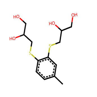 Cc1ccc(SCC(O)CO)c(SCC(O)CO)c1